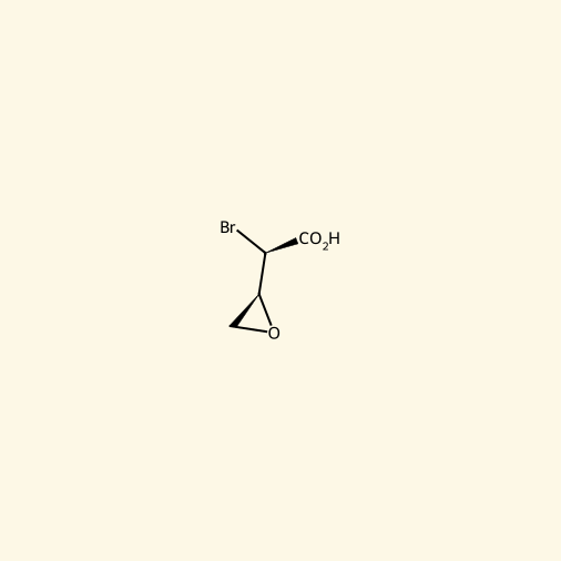 O=C(O)[C@H](Br)[C@@H]1CO1